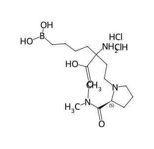 CN(C)C(=O)[C@@H]1CCCN1CCC(N)(CCCCB(O)O)C(=O)O.Cl.Cl